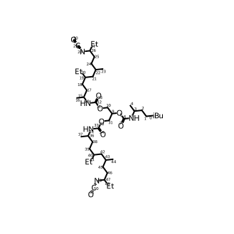 CCC(C)CCC(C)NC(=O)OC(COC(=O)NC(C)CCC(CC)CC(C)CCC(CC)N=C=O)COC(=O)NC(C)CCC(CC)CC(C)CCC(CC)N=C=O